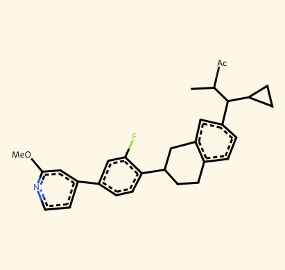 COc1cc(-c2ccc(C3CCc4ccc(C(C5CC5)C(C)C(C)=O)cc4C3)c(F)c2)ccn1